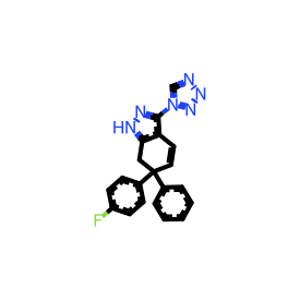 Fc1ccc(C2(c3ccccc3)C=Cc3c(-n4cnnn4)n[nH]c3C2)cc1